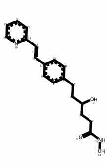 O=C(CCC(O)CCc1ccc(/C=C/c2ccccn2)cc1)NO